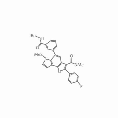 CNC(=O)c1c(-c2ccc(F)cc2)oc2c1cc(-c1cccc(C(=O)NC(C)(C)C)c1)c1c2ccn1SC